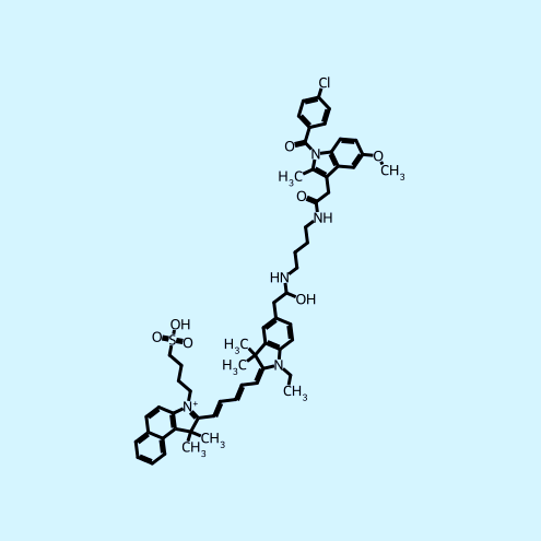 CCN1/C(=C/C=C/C=C/C2=[N+](CCCCS(=O)(=O)O)c3ccc4ccccc4c3C2(C)C)C(C)(C)c2cc(CC(O)NCCCCNC(=O)Cc3c(C)n(C(=O)c4ccc(Cl)cc4)c4ccc(OC)cc34)ccc21